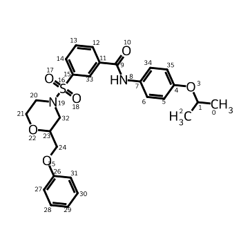 CC(C)Oc1ccc(NC(=O)c2cccc(S(=O)(=O)N3CCOC(COc4ccccc4)C3)c2)cc1